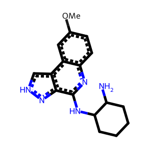 COc1ccc2nc(NC3CCCCC3N)c3n[nH]cc3c2c1